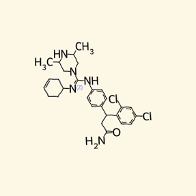 CC1CN(/C(=N\C2CC=CCC2)Nc2ccc(C(CC(N)=O)c3ccc(Cl)cc3Cl)cc2)CC(C)N1